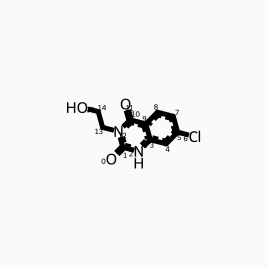 O=c1[nH]c2cc(Cl)ccc2c(=O)n1CCO